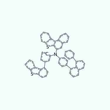 c1ccc(-c2cccc3cccc(-c4ccc(N(c5cccc(-c6cccc7sc8ccccc8c67)c5)c5cc6ccccc6c6c5sc5ccccc56)cc4)c23)cc1